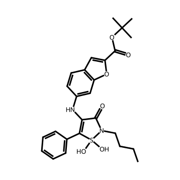 CCCCN1C(=O)C(Nc2ccc3cc(C(=O)OC(C)(C)C)oc3c2)=C(c2ccccc2)S1(O)O